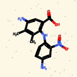 Cc1c(N)cc(C(=O)O)c(Nc2ccc(N)cc2[N+](=O)[O-])c1C